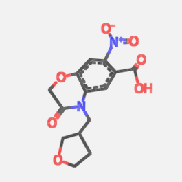 O=C(O)c1cc2c(cc1[N+](=O)[O-])OCC(=O)N2CC1CCOC1